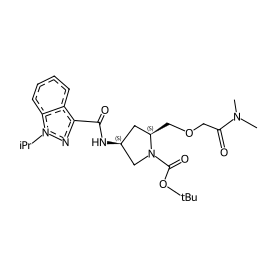 CC(C)n1nc(C(=O)N[C@H]2C[C@@H](COCC(=O)N(C)C)N(C(=O)OC(C)(C)C)C2)c2ccccc21